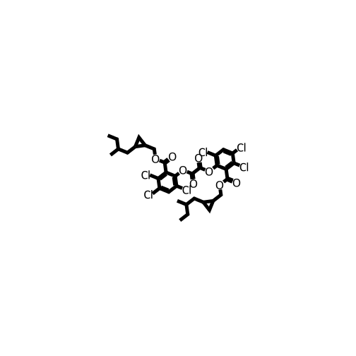 CCC(C)CC1CC1COC(=O)c1c(Cl)c(Cl)cc(Cl)c1OC(=O)C(=O)Oc1c(Cl)cc(Cl)c(Cl)c1C(=O)OCC1CC1CC(C)CC